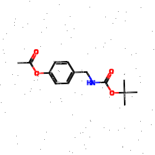 CC(=O)Oc1ccc(CNC(=O)OC(C)(C)C)cc1